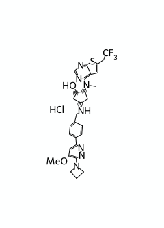 COc1cc(-c2ccc(CN[C@H]3C[C@@H](O)[C@@H](N(C)c4ncnc5sc(CC(F)(F)F)cc45)C3)cc2)nnc1N1CCC1.Cl